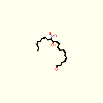 CC/C=C\C/C=C\CC(C(O)\C=C/C=C\C=C/C/C=C\CC[C]=O)[N+](=O)[O-]